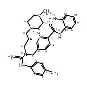 C=C(Nc1ccc(C)cc1)N(CCCN1CCN(C)CC1)Cc1ccc(C(=O)Nc2ccccc2N)nc1